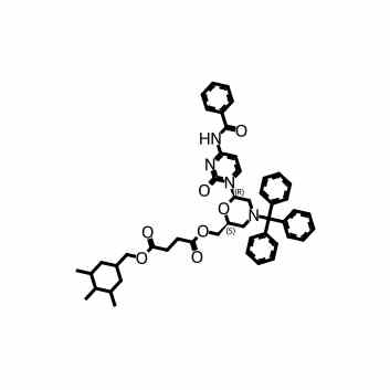 CC1CC(COC(=O)CCC(=O)OC[C@@H]2CN(C(c3ccccc3)(c3ccccc3)c3ccccc3)C[C@H](n3ccc(NC(=O)c4ccccc4)nc3=O)O2)CC(C)C1C